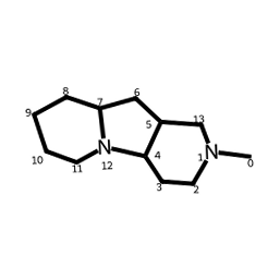 CN1CCC2C(CC3CCCCN32)C1